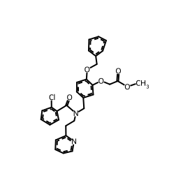 COC(=O)COc1cc(CN(CCc2ccccn2)C(=O)c2ccccc2Cl)ccc1OCc1ccccc1